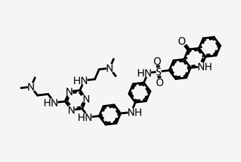 CN(C)CCNc1nc(NCCN(C)C)nc(Nc2ccc(Nc3ccc(NS(=O)(=O)c4ccc5[nH]c6ccccc6c(=O)c5c4)cc3)cc2)n1